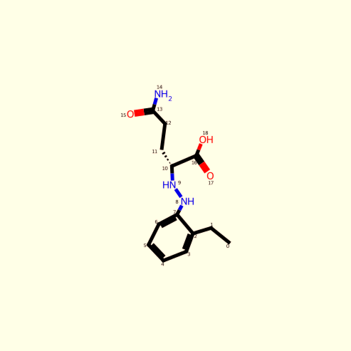 CCc1ccccc1NN[C@H](CCC(N)=O)C(=O)O